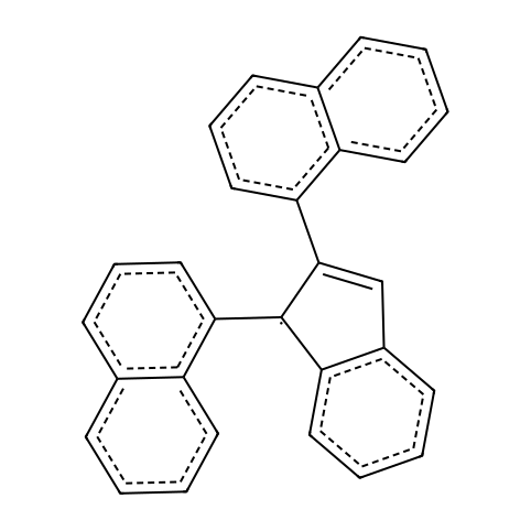 C1=C(c2cccc3ccccc23)[C](c2cccc3ccccc23)c2ccccc21